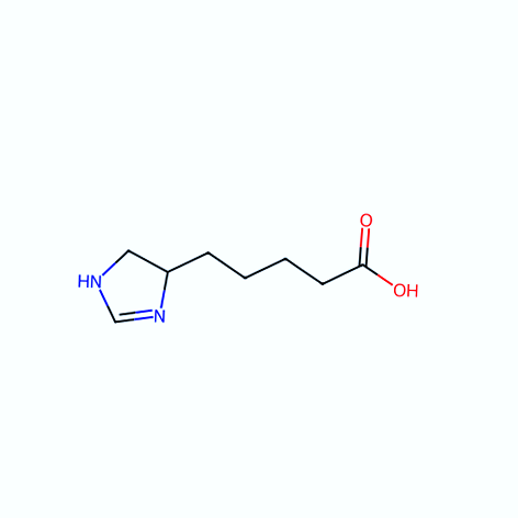 O=C(O)CCCCC1CNC=N1